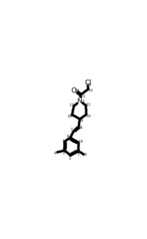 Cc1cc(C)cc(/C=C/C2CCN(C(=O)CCl)CC2)c1